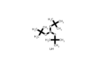 CC(C)(C)[O][Al]([O]C(C)(C)C)[O]C(C)(C)C.[LiH]